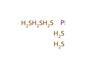 S.S.S.S.S.[P]